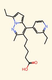 CCc1cc(-c2c(CCCCC(=O)O)c(C)nn3c(CC)ccc23)ccn1